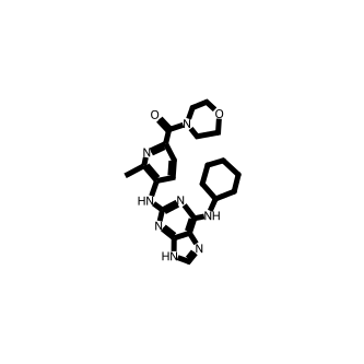 Cc1nc(C(=O)N2CCOCC2)ccc1Nc1nc(NC2CCCCC2)c2nc[nH]c2n1